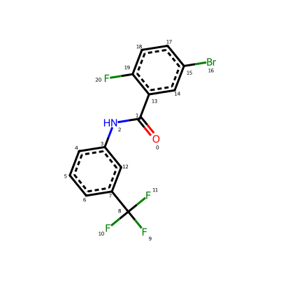 O=C(Nc1cccc(C(F)(F)F)c1)c1cc(Br)ccc1F